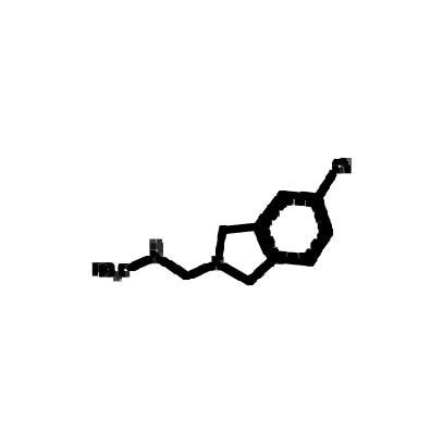 N#Cc1ccc2c(c1)CN(CNC(=O)O)C2